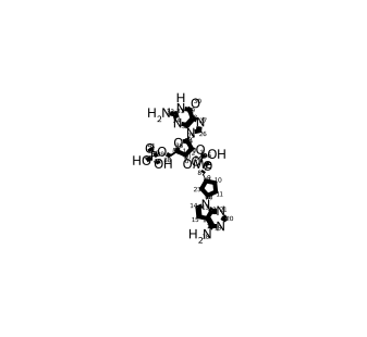 CO[C@H]1[C@@H](OP(=O)(O)OC[C@@H]2CC[C@H](n3ccc4c(N)ncnc43)C2)[C@H](n2cnc3c(=O)[nH]c(N)nc32)O[C@@H]1COP(=O)(O)O